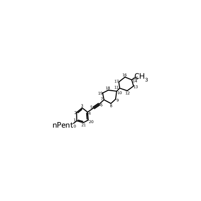 CCCCCc1ccc(C#CC2CCC(C3CCC(C)CC3)CC2)cc1